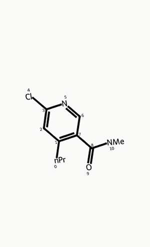 CCCc1cc(Cl)ncc1C(=O)NC